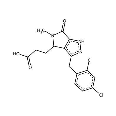 CN1C(=O)c2[nH]nc(Cc3ccc(Cl)cc3Cl)c2C1CCC(=O)O